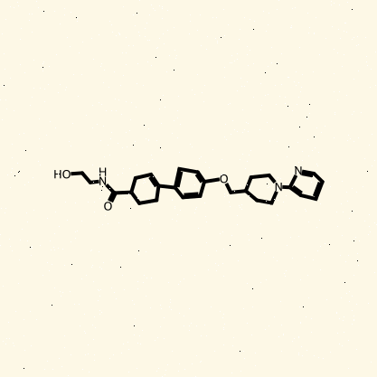 O=C(NCCO)C1CC=C(c2ccc(OCC3CCN(c4ccccn4)CC3)cc2)CC1